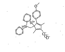 COc1ccc(C2=C(C)C(C)=C(C)[C]2([Ti+3])C[SiH](c2ccccc2)c2ccccc2)cc1.[Cl-].[Cl-].[Cl-]